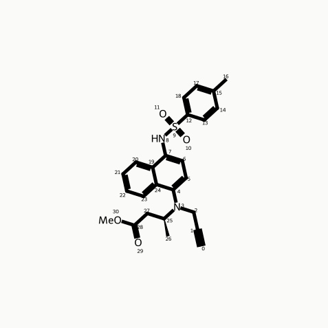 C#CCN(c1ccc(NS(=O)(=O)c2ccc(C)cc2)c2ccccc12)[C@@H](C)CC(=O)OC